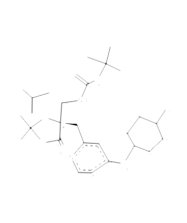 CC(C)C[C@H](NC(=O)OC(C)(C)C)[C@@]1(Cc2cc(OC3CCC(C)CC3)ccn2)OC(C)(C)OC1=O